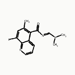 Cc1cc(I)c2ncccc2c1C(=O)N=CN(C)C